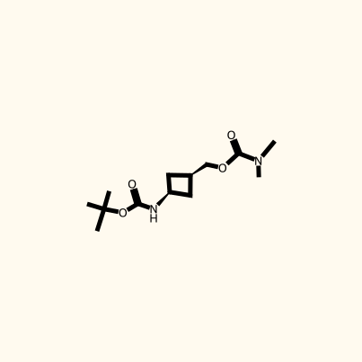 CN(C)C(=O)OC[C@H]1C[C@@H](NC(=O)OC(C)(C)C)C1